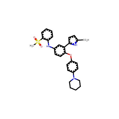 CS(=O)(=O)c1ccccc1Nc1ccc(Oc2ccc(N3CCCCC3)cc2)c(-c2ccc(C(=O)O)[nH]2)c1